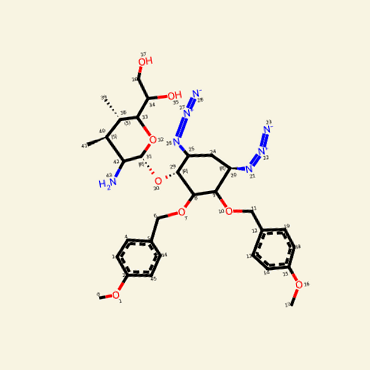 COc1ccc(COC2C(OCc3ccc(OC)cc3)[C@H](N=[N+]=[N-])CC(N=[N+]=[N-])[C@H]2O[C@H]2OC(C(O)CO)[C@@H](C)[C@H](C)C2N)cc1